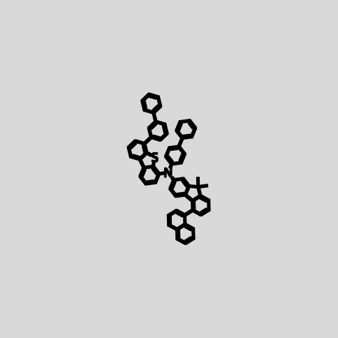 CC1(C)c2cc(N(c3ccc(-c4ccccc4)cc3)c3cccc4c3sc3c(-c5cccc(-c6ccccc6)c5)cccc34)ccc2-c2c(-c3cccc4ccccc34)cccc21